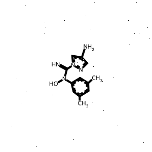 Cc1cc(C)cc(N(O)C(=N)n2cc(N)cn2)c1